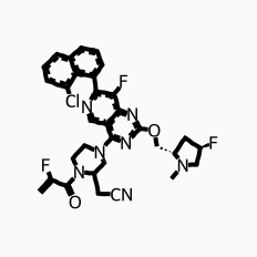 C=C(F)C(=O)N1CCN(c2nc(OC[C@@H]3C[C@@H](F)CN3C)nc3c(F)c(-c4cccc5cccc(Cl)c45)ncc23)CC1CC#N